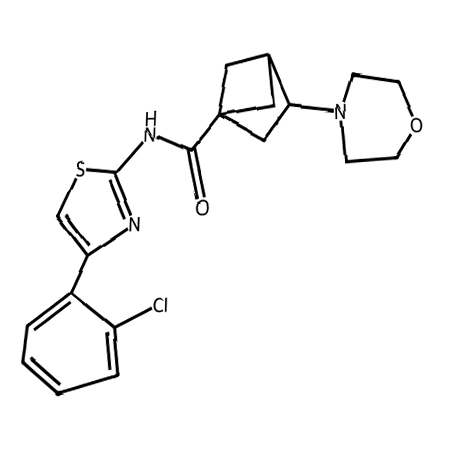 O=C(Nc1nc(-c2ccccc2Cl)cs1)C12CC(C1)C(N1CCOCC1)C2